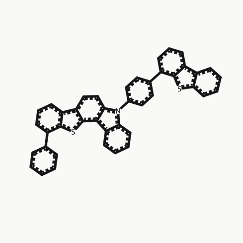 c1ccc(-c2cccc3c2sc2c3ccc3c2c2ccccc2n3-c2ccc(-c3cccc4c3sc3ccccc34)cc2)cc1